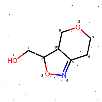 OCC1ON=C2CCOCC21